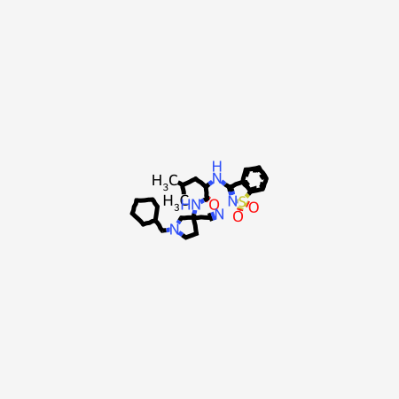 CC(C)CC(NC1=NS(=O)(=O)c2ccccc21)C(=O)NC1(C#N)CCN(CC2CCCCC2)C1